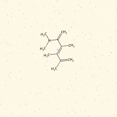 C=C(C)/C(C)=C(\C)C(=C)N(C)C